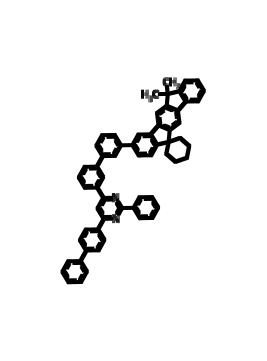 CC1(C)c2ccccc2-c2cc3c(cc21)-c1cc(-c2cccc(-c4cccc(-c5cc(-c6ccc(-c7ccccc7)cc6)nc(-c6ccccc6)n5)c4)c2)ccc1C31CCCCC1